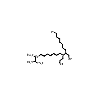 CC(C)CCCCCCCC(CO)N(CCO)CCCCCCCC(C)C.O=C(O)CC(C(=O)O)S(=O)(=O)O